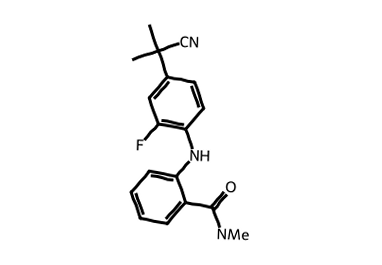 CNC(=O)c1ccccc1Nc1ccc(C(C)(C)C#N)cc1F